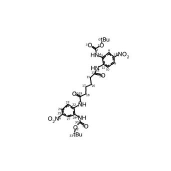 CC(C)(C)OC(=O)Nc1cc([N+](=O)[O-])ccc1NC(=O)CCCCC(=O)Nc1ccc([N+](=O)[O-])cc1NC(=O)OC(C)(C)C